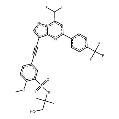 COc1ccc(C#Cc2cnn3c(C(F)F)cc(-c4ccc(C(F)(F)F)cc4)nc23)cc1S(=O)(=O)NC(C)(C)CO